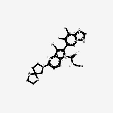 Cc1c(-c2c(C(C)C)c3nc(N4CCC5(C4)OCCO5)ccc3n2C(=O)OC(C)(C)C)cn2ncnc2c1C